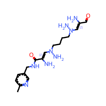 Cc1ccc(CNC(=O)/C(N)=C/N(N)CCCCN(N)/C=C(\N)C=O)cn1